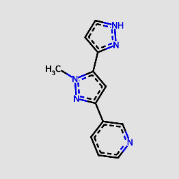 Cn1nc(-c2cccnc2)cc1-c1cc[nH]n1